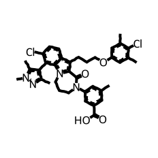 Cc1cc(C(=O)O)cc(N2CCCn3c(c(CCCOc4cc(C)c(Cl)c(C)c4)c4ccc(Cl)c(-c5c(C)nn(C)c5C)c43)C2=O)c1